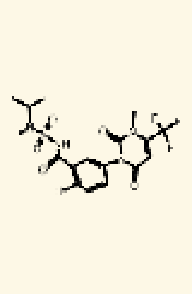 CC(C)N(C)S(=O)(=O)NC(=O)c1cc(-n2c(=O)cc(C(F)(F)F)n(C)c2=O)ccc1Cl